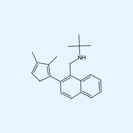 CC1=CCC(c2ccc3ccccc3c2CNC(C)(C)C)=C1C